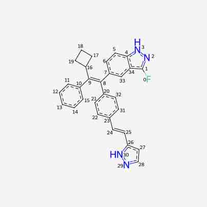 Fc1n[nH]c2ccc(/C(=C(/c3ccccc3)C3CCC3)c3ccc(/C=C/c4ccn[nH]4)cc3)cc12